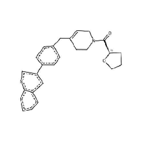 O=C([C@H]1CCCO1)N1CC=C(Cc2ccc(-c3cnc4ccccc4c3)cc2)CC1